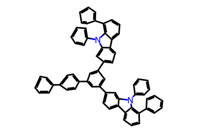 c1ccc(-c2ccc(-c3cc(-c4ccc5c6cccc(-c7ccccc7)c6n(-c6ccccc6)c5c4)cc(-c4ccc5c6cccc(-c7ccccc7)c6n(-c6ccccc6)c5c4)c3)cc2)cc1